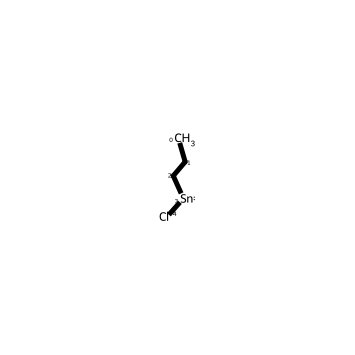 CC[CH2][Sn][Cl]